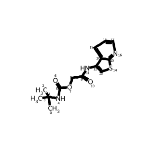 CC(C)(C)NC(=O)OCC(=O)Nc1csc2ncccc12